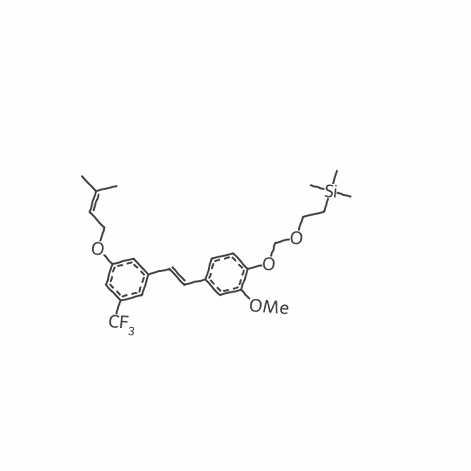 COc1cc(C=Cc2cc(OCC=C(C)C)cc(C(F)(F)F)c2)ccc1OCOCC[Si](C)(C)C